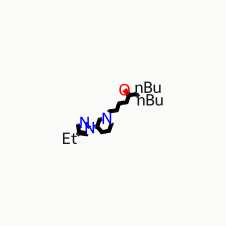 CCCCC(CCCC)C(=O)CCCCN1CCCC(n2cc(CC)cn2)C1